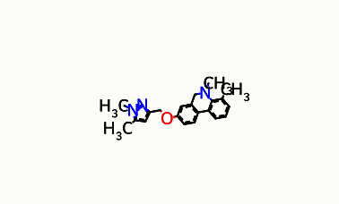 Cc1cccc2c1N(C)Cc1cc(OCc3cc(C)n(C)n3)ccc1-2